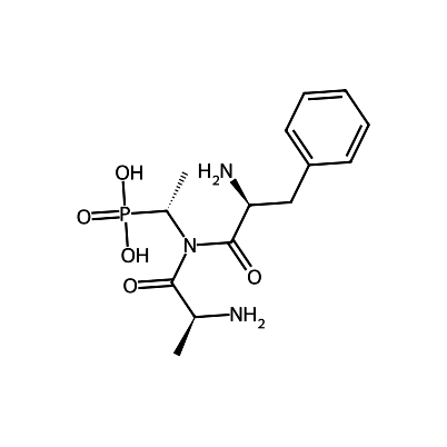 C[C@H](N)C(=O)N(C(=O)[C@@H](N)Cc1ccccc1)[C@@H](C)P(=O)(O)O